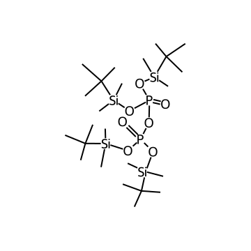 CC(C)(C)[Si](C)(C)OP(=O)(O[Si](C)(C)C(C)(C)C)OP(=O)(O[Si](C)(C)C(C)(C)C)O[Si](C)(C)C(C)(C)C